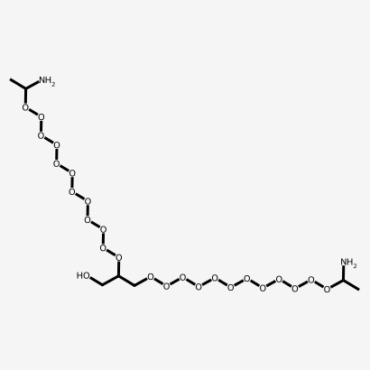 CC(N)OOOOOOOOOOOOCC(CO)OOOOOOOOOOOOC(C)N